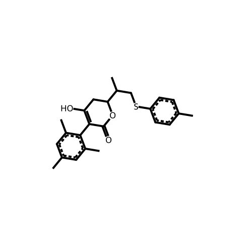 Cc1ccc(SCC(C)C2CC(O)=C(c3c(C)cc(C)cc3C)C(=O)O2)cc1